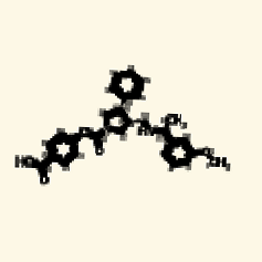 COc1cccc([C@@H](C)NC[C@@H]2CN(C(=O)Oc3ccc(C(=O)O)cc3)C[C@@H]2c2ccccc2)c1